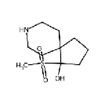 CS(=O)(=O)C1(O)CCCC12CCNCC2